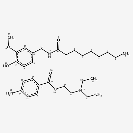 CCCCCCCCC(=O)NCc1ccc(O)c(OC)c1.CCN(CC)CCOC(=O)c1ccc(N)cc1